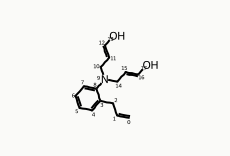 C=CCc1ccccc1N(CC=CO)CC=CO